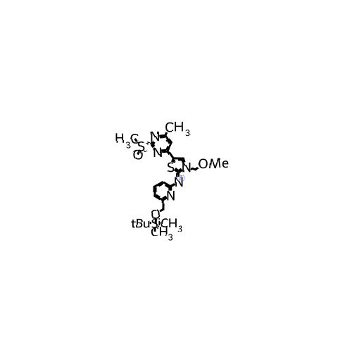 COCn1cc(-c2cc(C)nc([S+](C)[O-])n2)s/c1=N\c1cccc(CO[Si](C)(C)C(C)(C)C)n1